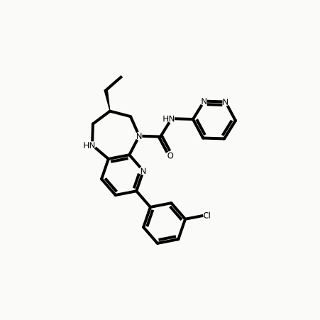 CC[C@@H]1CNc2ccc(-c3cccc(Cl)c3)nc2N(C(=O)Nc2cccnn2)C1